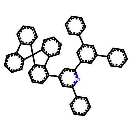 c1ccc(-c2cc(-c3ccccc3)cc(-c3cc(-c4cccc5c4-c4ccccc4C54c5ccccc5-c5ccccc54)cc(-c4ccccc4)n3)c2)cc1